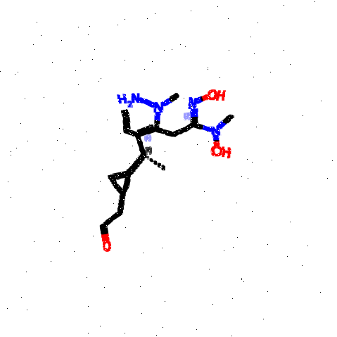 C=C/C(=C(/C/C(=N/O)N(C)O)N(C)N)[C@H](C)C1CC1CC=O